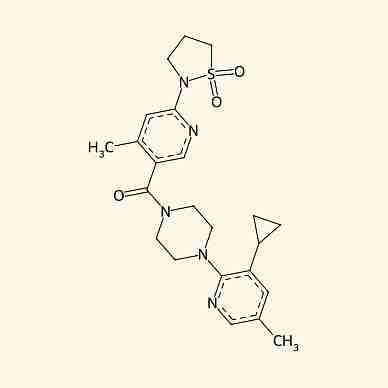 Cc1cnc(N2CCN(C(=O)c3cnc(N4CCCS4(=O)=O)cc3C)CC2)c(C2CC2)c1